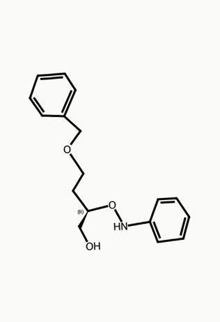 OC[C@@H](CCOCc1ccccc1)ONc1ccccc1